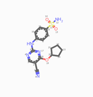 N#Cc1cnc(Nc2ccc(S(N)(=O)=O)cc2)nc1OC1CCCC1